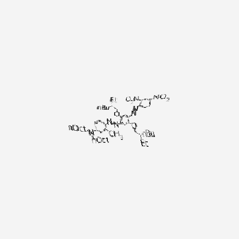 CCCCCCCCN(CCCCCCCC)c1ccc(N=Nc2cc(OCC(CC)CCCC)c(N=Nc3ccc([N+](=O)[O-])cc3[N+](=O)[O-])cc2OCC(CC)CCCC)c(C)c1